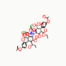 C=C(C)Oc1ccc(C2C(C(=O)CC)C(=O)C(P(=O)(C3=C(O)C(C(=O)O)C(c4ccc(OC(C)=O)cc4)C(C(=O)OCC)C3=O)N(CCCl)CCCl)=C(O)C2C(=O)O)cc1